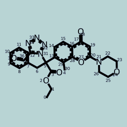 CCOC(=O)C(Cc1ccccc1)(c1ccc2c(=O)cc(N3CCOCC3)oc2c1C)n1nnnc1C=O